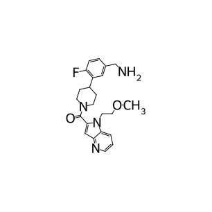 COCCn1c(C(=O)N2CCC(c3cc(CN)ccc3F)CC2)cc2ncccc21